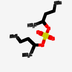 CSCCC(OS(=O)(=O)OC(CCSC)C(=O)O)C(=O)O